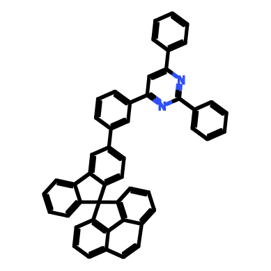 c1ccc(-c2cc(-c3cccc(-c4ccc5c(c4)-c4ccccc4C54c5cccc6ccc7cccc4c7c56)c3)nc(-c3ccccc3)n2)cc1